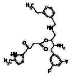 CCc1cccc(CNCC(OC(=O)CCC(=O)c2ccc(C)[nH]2)C(N)Cc2cc(F)cc(F)c2)c1